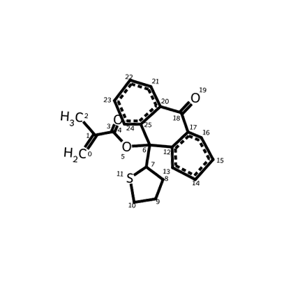 C=C(C)C(=O)OC1(C2CCCS2)c2ccccc2C(=O)c2ccccc21